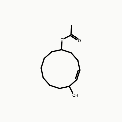 CC(=O)OC1CCC=CC(O)CCCCCC1